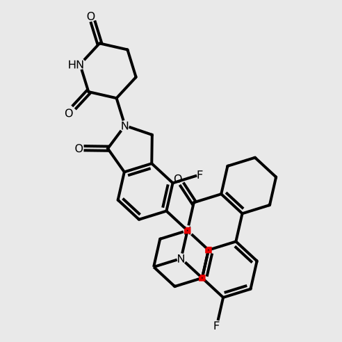 O=C1CCC(N2Cc3c(ccc(CN4C5CC4CN(C(=O)C4=C(c6ccc(F)cc6)CCCC4)C5)c3F)C2=O)C(=O)N1